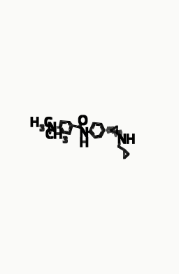 CN(C)c1ccc(C(=O)Nc2ccc([C@@H]3C[C@H]3NCC3CC3)cc2)cc1